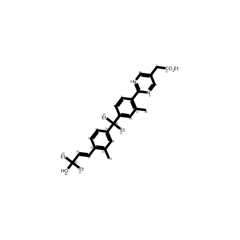 CCOC(=O)Cc1cnc(-c2ccc(C(CC)(CC)c3ccc(C=CC(O)(CC)CC)c(C)c3)cc2C)nc1